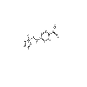 C=C[Si](C)(C=C)COc1ccc(C(=O)Cl)cc1